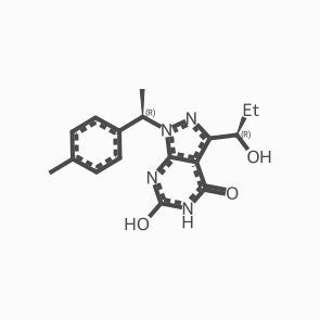 CC[C@@H](O)c1nn([C@H](C)c2ccc(C)cc2)c2nc(O)[nH]c(=O)c12